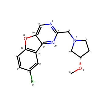 CO[C@H]1CCN(Cc2ncc3oc4ccc(Br)cc4c3n2)C1